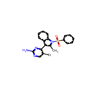 CCc1cnc(N)nc1-c1c(C)n(S(=O)(=O)c2ccccc2)c2ccccc12